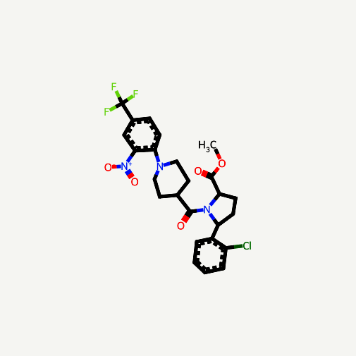 COC(=O)C1CCC(c2ccccc2Cl)N1C(=O)C1CCN(c2ccc(C(F)(F)F)cc2[N+](=O)[O-])CC1